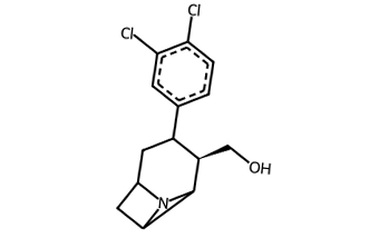 OC[C@@H]1C(c2ccc(Cl)c(Cl)c2)CC2CC3C1N23